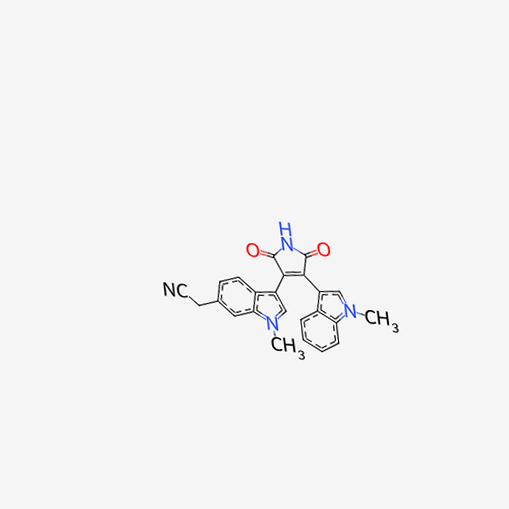 Cn1cc(C2=C(c3cn(C)c4cc(CC#N)ccc34)C(=O)NC2=O)c2ccccc21